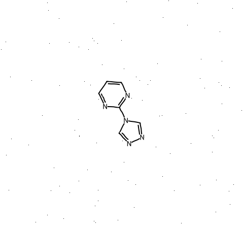 c1cnc(-n2cnnc2)nc1